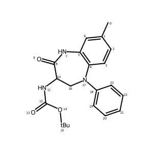 Cc1ccc2c(c1)NC(=O)C(NC(=O)OC(C)(C)C)CN2c1ccccc1